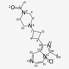 CC(=O)N1CCN(C2CC(C3=C4C=NC=C[N+]4(Cl)C(I)=N3)C2)CC1